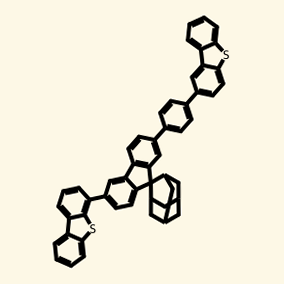 c1ccc2c(c1)sc1ccc(-c3ccc(-c4ccc5c(c4)C4(c6ccc(-c7cccc8c7sc7ccccc78)cc6-5)C5CC6CC(C5)CC4C6)cc3)cc12